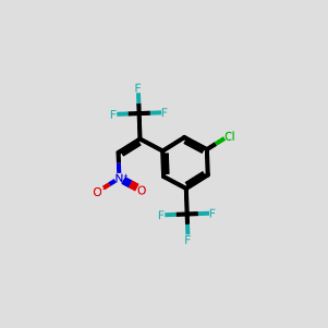 O=[N+]([O-])/C=C(\c1cc(Cl)cc(C(F)(F)F)c1)C(F)(F)F